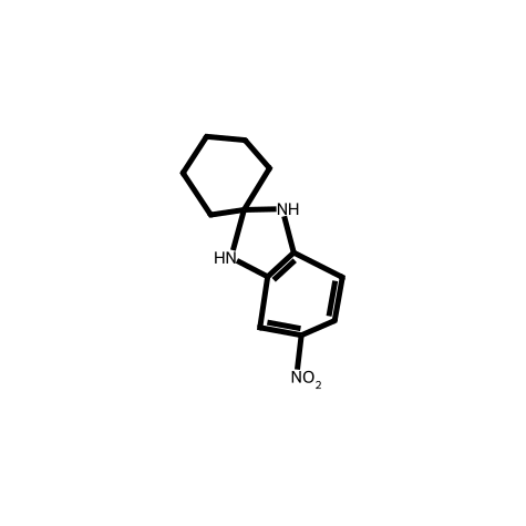 O=[N+]([O-])c1ccc2c(c1)NC1(CCCCC1)N2